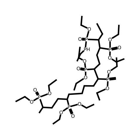 C=P(OCC)(OCC)C(CCCCC(CCC(C)P(=O)(OCC)OCC)P(=O)(OCC)OCC)C(CCC(C(CC)P(=O)(OCC)PCC)P(=O)(OCC)OCC)P(=O)(OCC)OCC